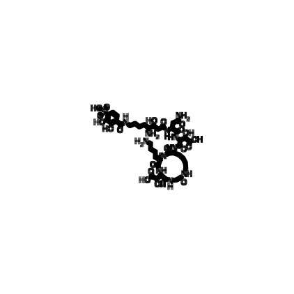 NCCCCC1NC(=O)C(NC(=O)C(NC(=O)C(CC(N)=O)NC(=O)CC(O)C(N)CCCCNC(=O)c2ccc(S(=O)(=O)O)c(O)c2O)C(O)C(=O)O)CCCCNC(=O)CNC(=O)C(C(O)C(=O)O)NC1=O